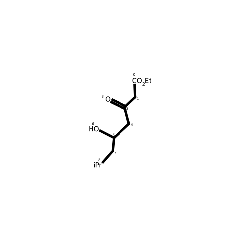 CCOC(=O)CC(=O)CC(O)CC(C)C